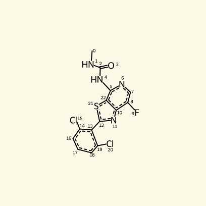 CNC(=O)Nc1ncc(F)c2nc(-c3c(Cl)cccc3Cl)sc12